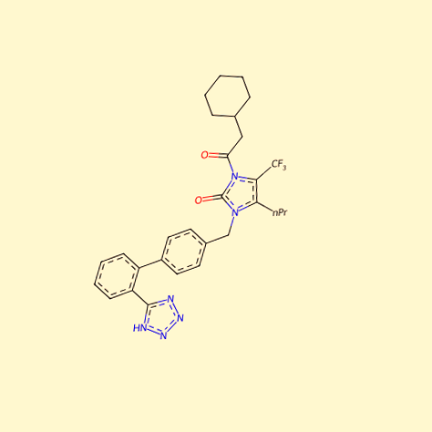 CCCc1c(C(F)(F)F)n(C(=O)CC2CCCCC2)c(=O)n1Cc1ccc(-c2ccccc2-c2nnn[nH]2)cc1